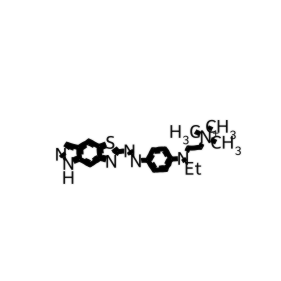 CCN(CC[N+](C)(C)C)c1ccc(/N=N/c2nc3cc4[nH]ncc4cc3s2)cc1